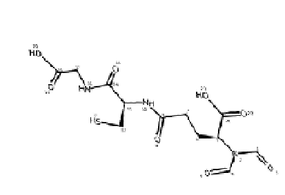 O=CN(C=O)[C@@H](CCC(=O)N[C@@H](CS)C(=O)NCC(=O)O)C(=O)O